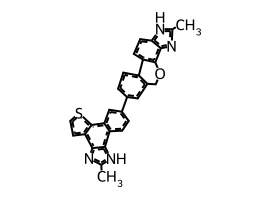 Cc1nc2c3c(ccc2[nH]1)-c1ccc(-c2ccc4c(c2)c2sccc2c2nc(C)[nH]c42)cc1CO3